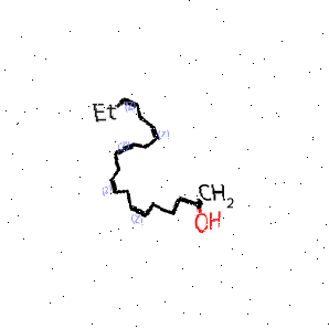 C=C(O)CCC/C=C\C/C=C\C/C=C\C/C=C\C/C=C\CC